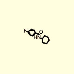 O=C(NC1CCCCC1)c1c[c]c(F)cc1